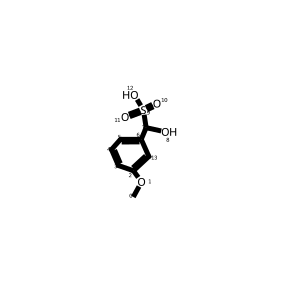 COc1cccc(C(O)S(=O)(=O)O)c1